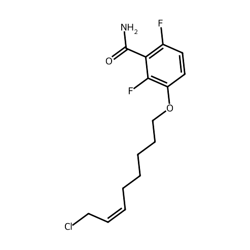 NC(=O)c1c(F)ccc(OCCCCC/C=C\CCl)c1F